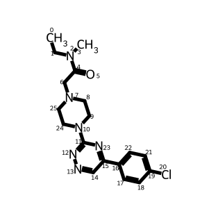 CCN(C)C(=O)CN1CCN(c2nncc(-c3ccc(Cl)cc3)n2)CC1